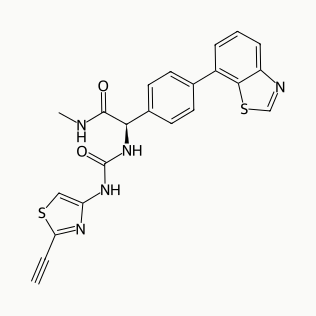 C#Cc1nc(NC(=O)N[C@@H](C(=O)NC)c2ccc(-c3cccc4ncsc34)cc2)cs1